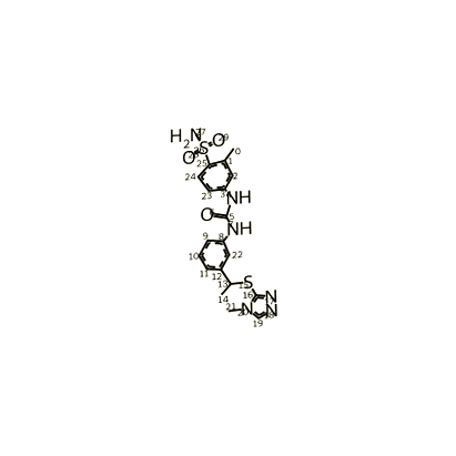 Cc1cc(NC(=O)Nc2cccc(C(C)Sc3nncn3C)c2)ccc1S(N)(=O)=O